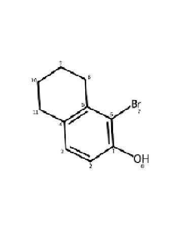 Oc1ccc2c(c1Br)CCCC2